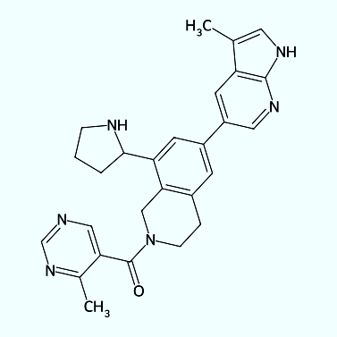 Cc1ncncc1C(=O)N1CCc2cc(-c3cnc4[nH]cc(C)c4c3)cc(C3CCCN3)c2C1